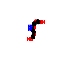 O=C(Nc1ccc(Oc2ccc(O)cc2)cc1)Nc1ccc(Oc2ccc(O)cc2)cc1